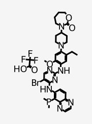 CCc1cc(Nc2ncc(Br)c(Nc3ccc4nccnc4c3P(C)C)n2)c(OC)cc1N1CCC(N2CCCCOC2=O)CC1.O=C(O)C(F)(F)F